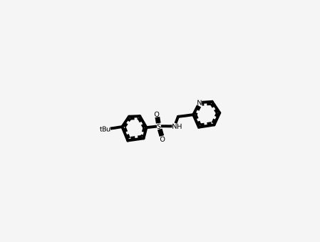 CC(C)(C)c1ccc(S(=O)(=O)NCc2ccccn2)cc1